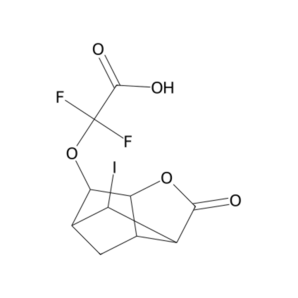 O=C1OC2C3CC(C(I)C13)C2OC(F)(F)C(=O)O